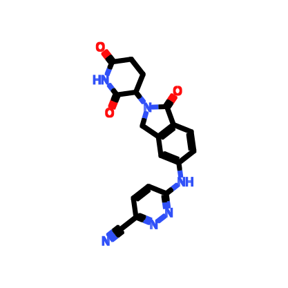 N#Cc1ccc(Nc2ccc3c(c2)CN(C2CCC(=O)NC2=O)C3=O)nn1